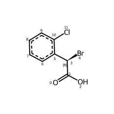 O=C(O)[C@H](Br)c1ccccc1Cl